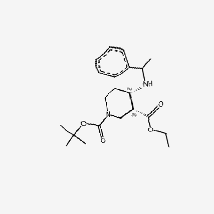 CCOC(=O)[C@@H]1CN(C(=O)OC(C)(C)C)CC[C@@H]1NC(C)c1ccccc1